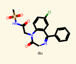 CC[C@H](C)[C@@H]1N=C(c2ccccc2)c2cc(Cl)ccc2N(CC(=O)NS(C)(=O)=O)C1=O